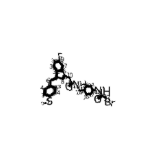 CSc1ccc(/C=C2\C=C(CC(=O)NCc3ccc(NC(=O)CBr)cc3)c3cc(F)ccc32)cc1